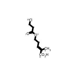 CC(=CCCOC(=O)CCCl)C(=O)O